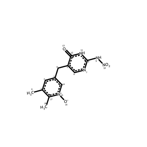 Cc1cc(Cc2cnc(N[N+](=O)[O-])[nH]c2=O)c[n+]([O-])c1C